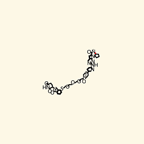 CN(C)C(=O)c1cc2cnc(Nc3ccc(N4CCN(C(=O)COCCOCCOCCSc5cccc6c5CN(C5CCC(=O)NC5=O)C6=O)CC4)cn3)nc2n1C1CCCC1